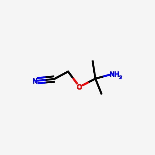 CC(C)(N)OCC#N